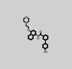 CC(=O)c1ccc(-c2cccc(C(=O)Nc3ccc(OCCN4CCOCC4)c4ccccc34)c2)cc1